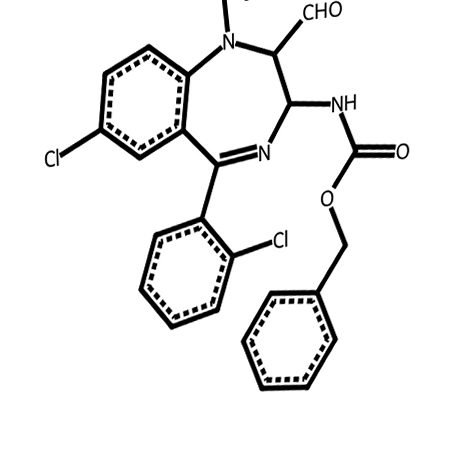 CN1c2ccc(Cl)cc2C(c2ccccc2Cl)=NC(NC(=O)OCc2ccccc2)C1C=O